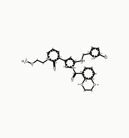 COCCn1cccc(-c2cc(NCc3ccc(Cl)s3)n(C(=O)c3cccc4c3OCCO4)n2)c1=O